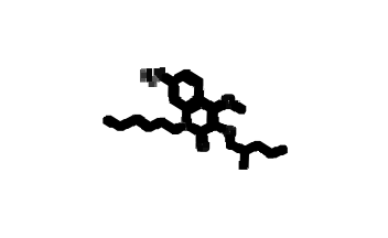 CCCCCCn1c(=O)c(OCC(C)CCC)c(OC)c2ccc(N)cc21